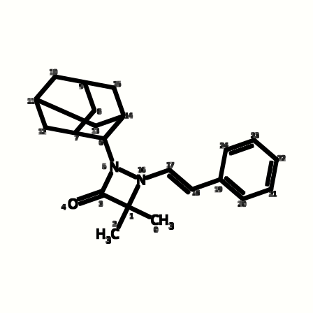 CC1(C)C(=O)N(C2C3CC4CC(C3)CC2C4)N1C=Cc1ccccc1